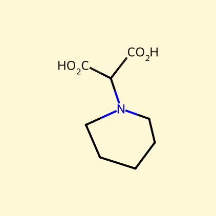 O=C(O)C(C(=O)O)N1CCCCC1